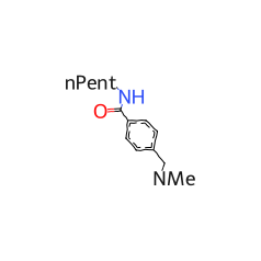 CCCCCNC(=O)c1ccc(CNC)cc1